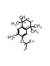 Cc1cc2c(cc1OC(F)F)C(C)(C)CCC2(C)C